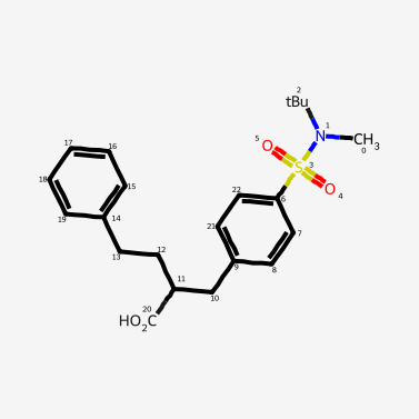 CN(C(C)(C)C)S(=O)(=O)c1ccc(CC(CCc2ccccc2)C(=O)O)cc1